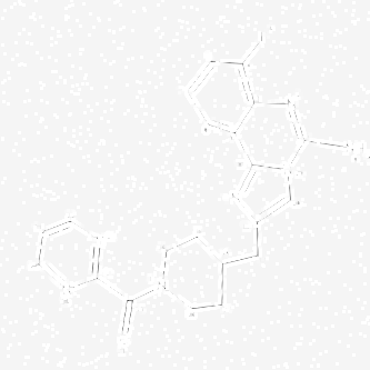 Nc1nc2c(F)cccc2c2nc(CC3CCN(C(=O)c4ncccn4)CC3)cn12